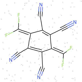 N#Cc1c(C#N)c(=C(F)F)c(C#N)c(C#N)c1=C(F)F